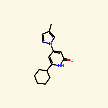 Cc1ccn(-c2cc(C3CCCCC3)[nH]c(=O)c2)c1